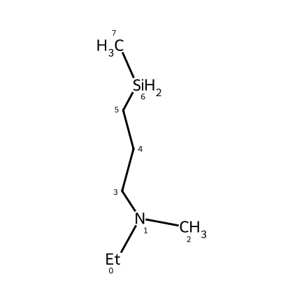 CCN(C)CCC[SiH2]C